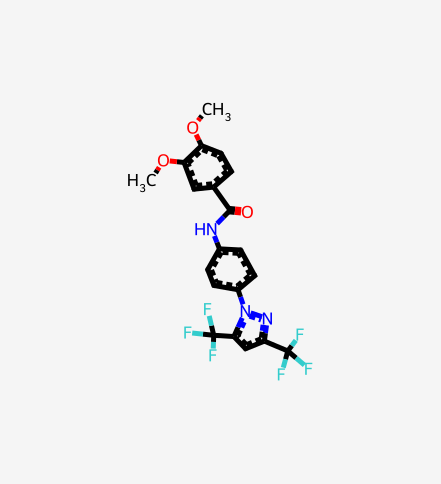 COc1ccc(C(=O)Nc2ccc(-n3nc(C(F)(F)F)cc3C(F)(F)F)cc2)cc1OC